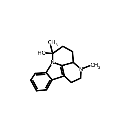 CN1CCc2c3n(c4ccccc24)C(C)(O)CCC31